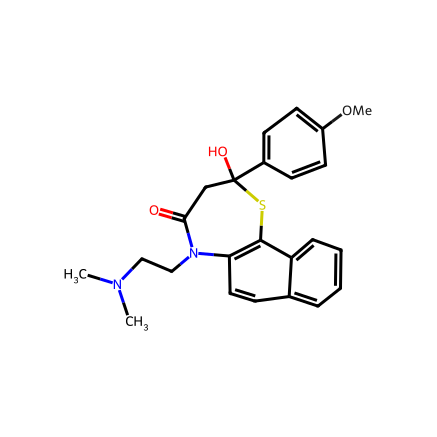 COc1ccc(C2(O)CC(=O)N(CCN(C)C)c3ccc4ccccc4c3S2)cc1